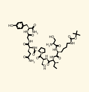 CC[C@H](C)[C@H](NC(=O)[C@H](CCCCNC(=O)OC(C)(C)C)NC(=O)[C@@H](N)CO)C(=O)N[C@@H](CO)C(=O)N1CCC[C@H]1C(=O)N[C@@H](CCC(N)=O)C(=O)NCC(=O)N[C@@H](Cc1ccc(O)cc1)C(N)=O